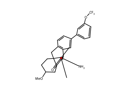 COC1CCC2(CC1)Cc1ccc(-c3cccc(OC(F)(F)F)c3)cc1C21N=C(N)N(C)C1=O